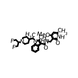 COc1cc(C)[nH]c(=O)c1CNC(=O)c1c(C)n([C@H](C)C2CCN(C(CF)CF)CC2)c2ccccc12